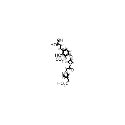 O=C(O)Cc1cn(CC(=O)N2CC(Oc3ccc(CCB(O)O)c(O)c3C(=O)O)C2)nn1